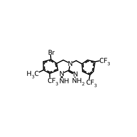 Cc1cc(Br)c(CN(Cc2cc(C(F)(F)F)cc(C(F)(F)F)c2)/C(N=N)=N/N)cc1C(F)(F)F